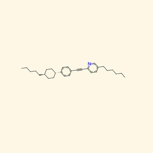 CCCCCCc1ccc(C#Cc2ccc([C@H]3CC[C@H](CCCCC)CC3)cc2)nc1